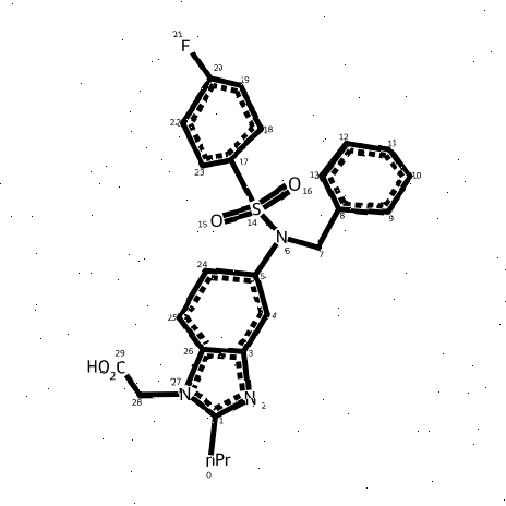 CCCc1nc2cc(N(Cc3ccccc3)S(=O)(=O)c3ccc(F)cc3)ccc2n1CC(=O)O